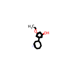 CCOc1cc(O)cc(C2C/C=C\CCCC2)c1